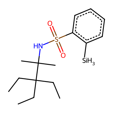 CCC(CC)(CC)C(C)(C)NS(=O)(=O)c1ccccc1[SiH3]